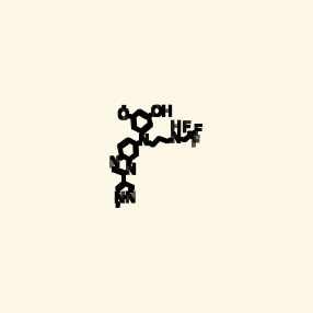 COc1cc(O)cc(N(CCCNCC(F)(F)F)c2ccc3ncc(-c4cnn(C)c4)nc3c2)c1